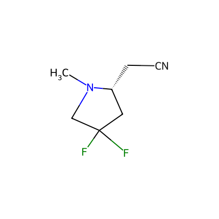 CN1CC(F)(F)C[C@H]1CC#N